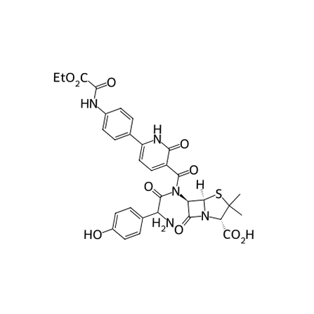 CCOC(=O)C(=O)Nc1ccc(-c2ccc(C(=O)N(C(=O)C(N)c3ccc(O)cc3)[C@@H]3C(=O)N4[C@@H]3SC(C)(C)[C@@H]4C(=O)O)c(=O)[nH]2)cc1